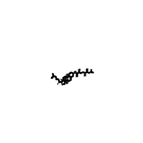 CC(C)CCC[C@@H](C)[C@H]1CC[C@H]2[C@@H]3CC=C4C[C@@H](OC(=O)NCCNC(=O)CC(C)C)CC[C@]4(C)[C@H]3CC[C@]12C